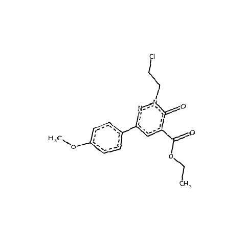 CCOC(=O)c1cc(-c2ccc(OC)cc2)nn(CCCl)c1=O